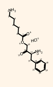 Cl.NCCCCCC(=O)OCC(=O)[C@@H](N)Cc1ccccc1